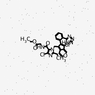 CCOC(=O)CNC(=O)c1c(Cl)nc(CC)n1Cc1c2ccocc-2c(Br)c1-c1ccccc1-c1nnn[nH]1